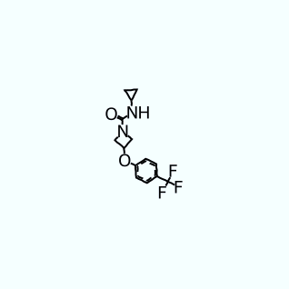 O=C(NC1CC1)N1CC(Oc2ccc(C(F)(F)F)cc2)C1